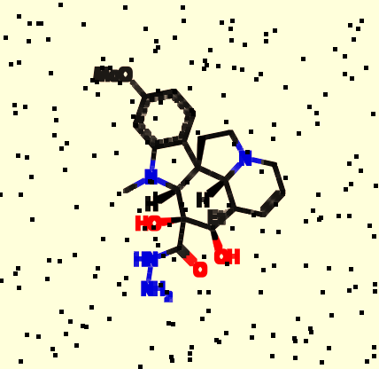 CC[C@]12C=CCN3CC[C@@]4(c5ccc(OC)cc5N(C)[C@H]4[C@@](O)(C(=O)NN)[C@@H]1O)[C@H]32